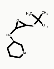 CC(C)(C)OC1OC1N[C@@H]1CCCNC1